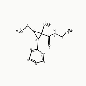 COCNC(=O)C1(C(=O)O)C(COC)C1c1ccccc1